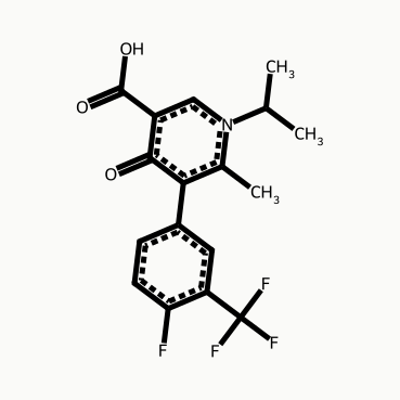 Cc1c(-c2ccc(F)c(C(F)(F)F)c2)c(=O)c(C(=O)O)cn1C(C)C